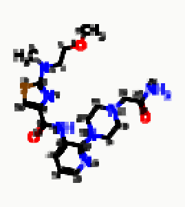 COCCN(C)c1nc(C(=O)Nc2cccnc2N2CCN(CC(N)=O)CC2)cs1